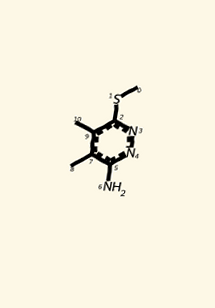 CSc1nnc(N)c(C)c1C